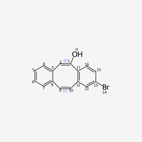 O/C1=C/c2ccccc2/C=C\c2cc(Br)ccc21